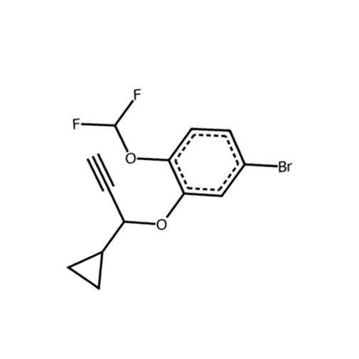 C#CC(Oc1cc(Br)ccc1OC(F)F)C1CC1